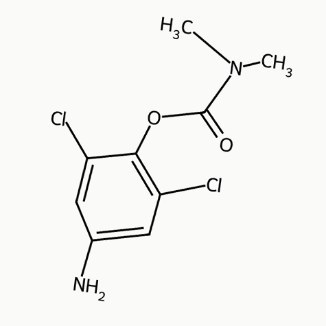 CN(C)C(=O)Oc1c(Cl)cc(N)cc1Cl